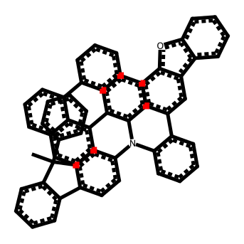 CC1(c2ccccc2)c2ccccc2-c2ccc(N(c3ccccc3-c3ccc4oc5ccccc5c4c3)c3ccccc3-c3cccc4cccc(-c5ccccc5)c34)cc21